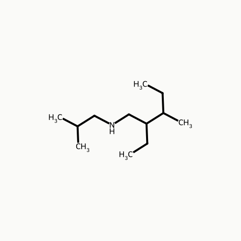 CCC(C)C(CC)CNCC(C)C